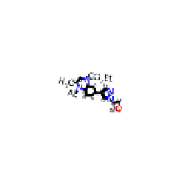 CCOC(=O)N1C[C@H](C)N(C(C)=O)c2ccc(-c3cnn(C4COC4)c3)cc21